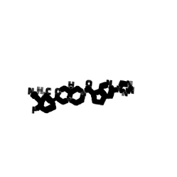 Cc1c([C@@H]2CN3CCN(C(=O)C4CCc5cc(-n6cnnn6)ncc54)C[C@@H]3CO2)ccc(F)c1C#N